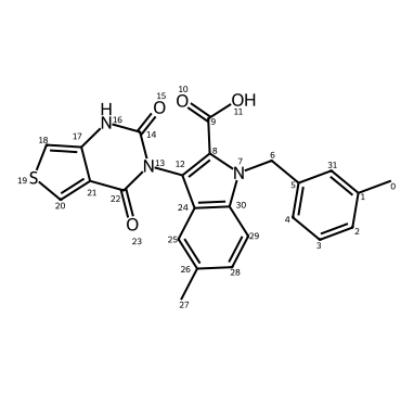 Cc1cccc(Cn2c(C(=O)O)c(-n3c(=O)[nH]c4cscc4c3=O)c3cc(C)ccc32)c1